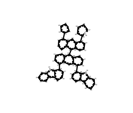 c1ccc(-c2cccc3c(-c4c5cccc(-c6cccc7c6sc6ccccc67)c5cc5c(-c6cccc7c6sc6ccccc67)cccc45)c4cccc(-c5ccccc5)c4cc23)cc1